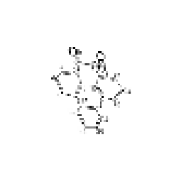 O=C1c2ccccc2-c2ccccc2[PH]1=O.c1ccccc1